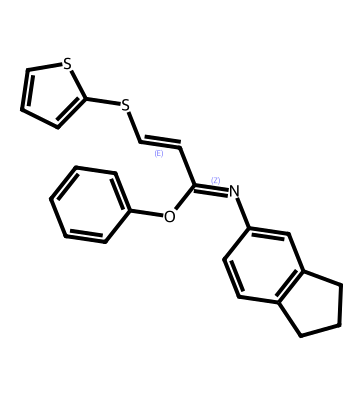 C(=C\C(=N\c1ccc2c(c1)CCC2)Oc1ccccc1)/Sc1cccs1